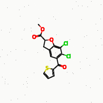 COC(=O)C1Cc2cc(C(=O)c3cccs3)c(Cl)c(Cl)c2O1